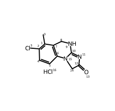 Cc1c(Cl)ccc2c1CNC1=NC(=O)CN12.Cl